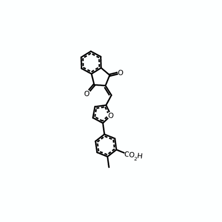 Cc1ccc(-c2ccc(C=C3C(=O)c4ccccc4C3=O)o2)cc1C(=O)O